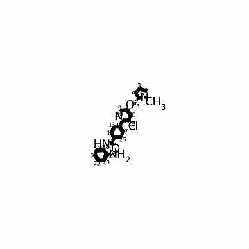 CN1CCC[C@H]1COc1cnc(-c2ccc(C(=O)Nc3ccccc3N)cc2)c(Cl)c1